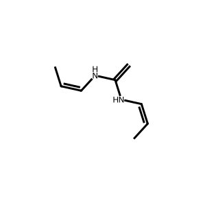 C=C(N/C=C\C)N/C=C\C